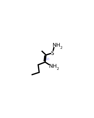 CCC/C(N)=C(\C)SN